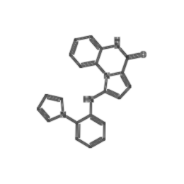 O=c1[nH]c2ccccc2n2c(Nc3ccccc3-n3cccc3)ccc12